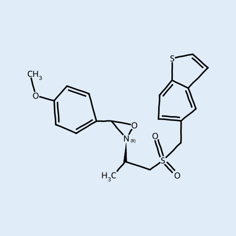 COc1ccc(C2O[N@@]2C(C)CS(=O)(=O)Cc2ccc3sccc3c2)cc1